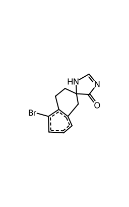 O=C1N=CNC12CCc1c(Br)cccc1C2